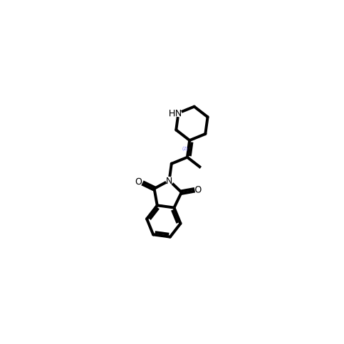 C/C(CN1C(=O)c2ccccc2C1=O)=C1\CCCNC1